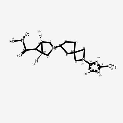 CCN(CC)C(=O)C1[C@H]2CN(C3CCC4(C3)CN(c3nc(C)no3)C4)C[C@@H]12